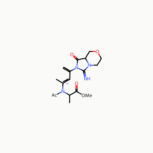 C=C(/C=C(\C)N(C(C)=O)C(C)C(=O)OC)N1C(=N)N2CCOCC2C1=O